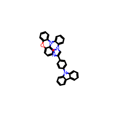 c1ccc2c(c1)Oc1ccccc1N2c1ccccc1-n1cc(-c2ccc(-n3c4ccccc4c4ccccc43)cc2)nn1